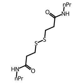 CCCNC(=O)CCSSCCC(=O)NCCC